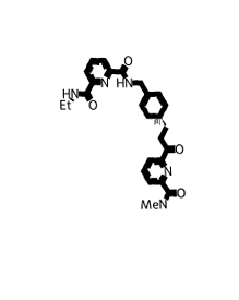 CCNC(=O)c1cccc(C(=O)NCC2=CC[C@@H](CCC(=O)c3cccc(C(=O)NC)n3)C=C2)n1